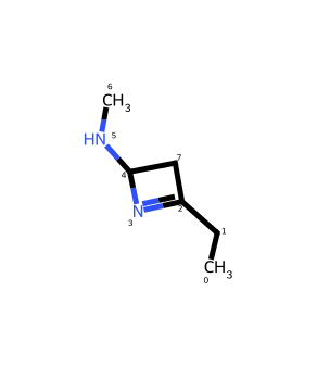 CCC1=NC(NC)C1